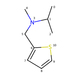 CC(C)N(C)Cc1cccs1